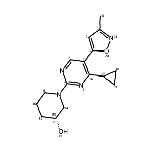 Cc1cc(-c2cnc(N3CCC[C@@H](O)C3)nc2C2CC2)on1